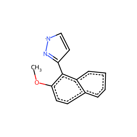 COc1ccc2ccccc2c1C1=N[N]C=C1